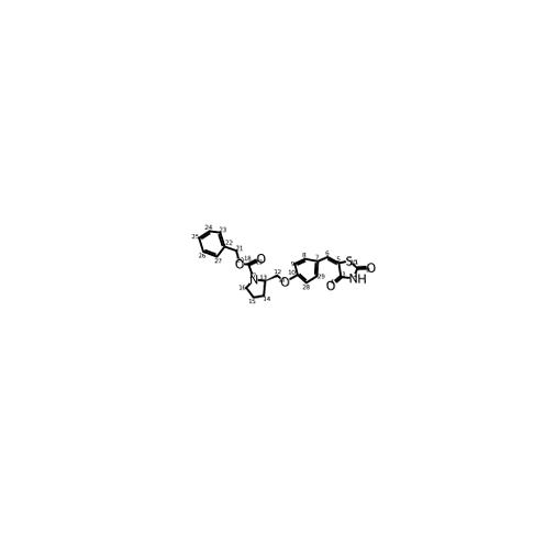 O=C1NC(=O)/C(=C\c2ccc(OC[C@H]3CCCN3C(=O)OCc3ccccc3)cc2)S1